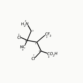 N#CC(Cl)(CN)C(C(Cl)C(=O)O)C(F)(F)F